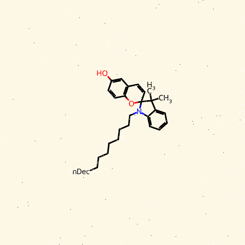 CCCCCCCCCCCCCCCCCCN1c2ccccc2C(C)(C)C12C=Cc1cc(O)ccc1O2